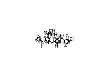 CN(C)C(=O)c1cc(CN2C[C@H]3C[C@@H]2CN3C(=O)c2cccc(Cl)c2F)nc(Nc2nccs2)c1